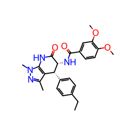 CCc1ccc([C@@H]2c3c(C)nn(C)c3NC(=O)[C@@H]2NC(=O)c2ccc(OC)c(OC)c2)cc1